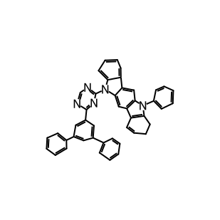 C1=Cc2c(n(-c3ccccc3)c3cc4c5ccccc5n(-c5ncnc(-c6cc(-c7ccccc7)cc(-c7ccccc7)c6)n5)c4cc23)CC1